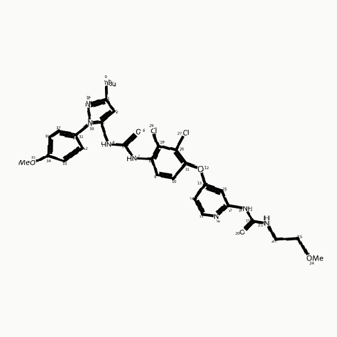 CCCCc1cc(NC(=O)Nc2ccc(Oc3ccnc(NC(=O)NCCOC)c3)c(Cl)c2Cl)n(-c2ccc(OC)cc2)n1